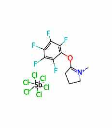 C[N+]1=C(Oc2c(F)c(F)c(F)c(F)c2F)CCC1.[Cl][Sb-]([Cl])([Cl])([Cl])([Cl])[Cl]